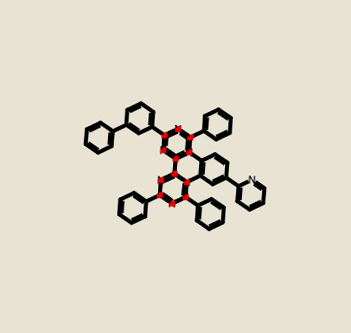 c1ccc(-c2cccc(-c3nc(-c4ccccc4)nc(-c4ccccc4-c4cc(-c5ccccn5)ccc4-c4ccccc4-c4nc(-c5ccccc5)nc(-c5ccccc5)n4)n3)c2)cc1